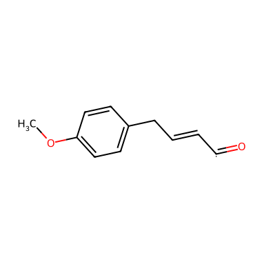 COc1ccc(CC=C[C]=O)cc1